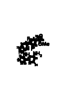 COC1(c2cc(F)c(-c3ccc4cnc(Nc5cnccc5N5C[C@H](C)C[C@H](N)C5)n4n3)c(F)c2)COC1